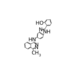 Cc1nnc(Nc2ccc3[nH]c(-c4ccccc4O)nc3c2)c2ccccc12